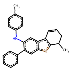 Cc1ccc(Nc2cc3c4c(sc3cc2-c2ccccc2)C(C)CC=C4)cc1